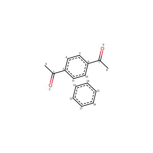 CC(=O)c1ccc(C(C)=O)cc1.c1ccccc1